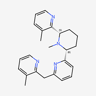 Cc1cccnc1Cc1cccc([C@H]2CCC[C@@H](c3ncccc3C)N2C)n1